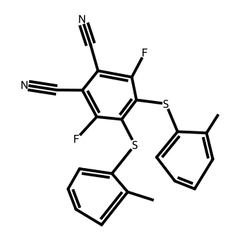 Cc1ccccc1Sc1c(F)c(C#N)c(C#N)c(F)c1Sc1ccccc1C